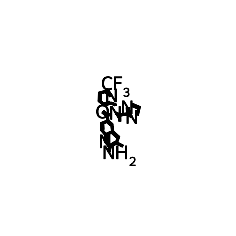 Cc1cc2cc(C(=O)N(Cc3cccc(C(F)(F)F)n3)C(C)c3ncccn3)ccc2nc1N